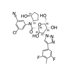 Cc1c(F)cc(-c2cn([C@H]3[C@@H](O)[C@@H](CO)O[C@@H](C(=O)N(c4cc(Cl)cc(C#N)c4)[C@H]4CCC[C@@H]4O)[C@@H]3O)nn2)cc1F